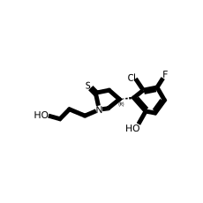 OCCCN1C[C@@H](c2c(O)ccc(F)c2Cl)CC1=S